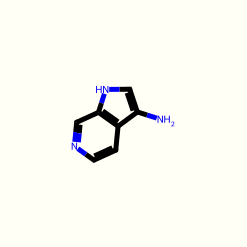 Nc1c[nH]c2cnccc12